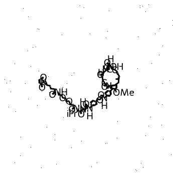 COc1cc2cc(c1-c1ccc(NC(=O)OCc3ccc(NC(=O)CNC(=O)C(NC(=O)CCOCCOCCNC(=O)CCCCCN4C(=O)C=CC4=O)C(C)C)cc3)cc1)N(C)C(=O)CC[C@]1(C)O[C@H]1[C@H](C)[C@@H]1C[C@](O)(C/C=C/C=C(\C)C2)NC(=O)O1